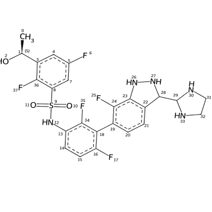 C[C@H](O)c1cc(F)cc(S(=O)(=O)Nc2ccc(F)c(-c3ccc4c(c3F)NNC4C3NCCN3)c2F)c1F